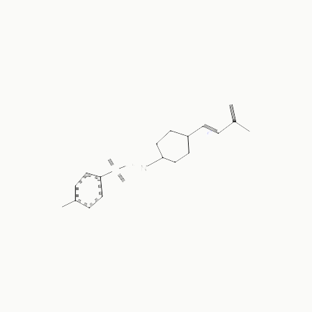 C=C(C)/C=C/C1CCC(NOS(=O)(=O)c2ccc(C)cc2)CC1